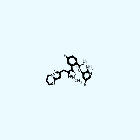 C[C@@H](Oc1cc(Br)cnc1N)c1ccc(F)cc1-c1nn(C)nc1Cc1cc2n(n1)CCCO2